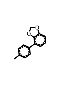 [CH2]c1ccc(-c2cccc3c2OCO3)cc1